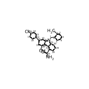 Cc1ccccc1Cn1c2cc(-c3ccc(Cl)cc3)cc(O)c2c2c(C(N)=O)cccc21